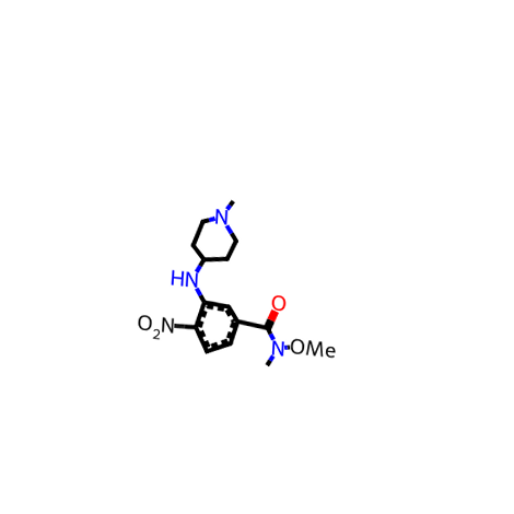 CON(C)C(=O)c1ccc([N+](=O)[O-])c(NC2CCN(C)CC2)c1